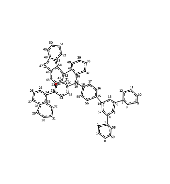 c1ccc(-c2cc(-c3ccccc3)cc(-c3ccc(N(c4ccc(-c5cccc6ccccc56)cc4)c4ccccc4-c4cccc5sc6ccccc6c45)cc3)c2)cc1